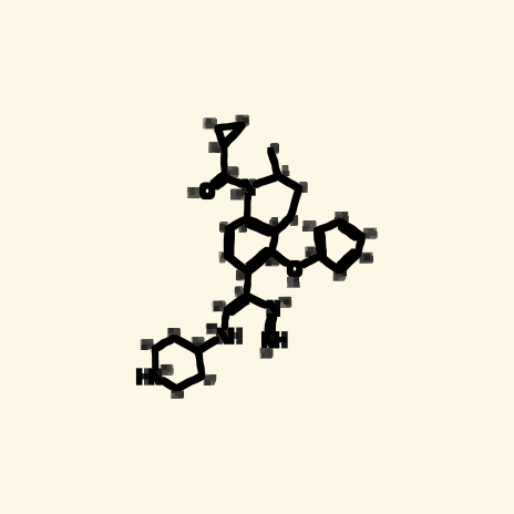 CC1CCc2c(ccc(/C(=C/NC3CCNCC3)N=N)c2Oc2ccccc2)N1C(=O)C1CC1